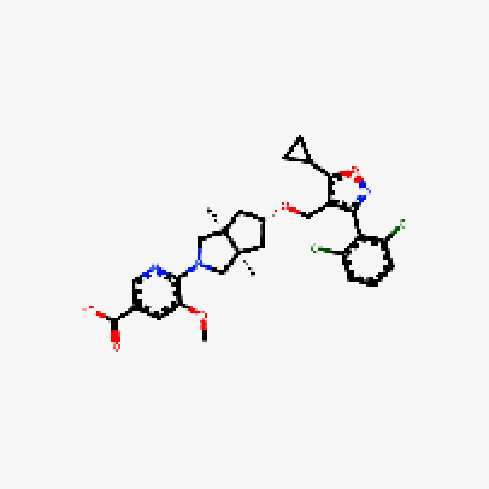 COc1cc(C(=O)O)cnc1N1C[C@H]2C[C@H](OCc3c(-c4c(Cl)cccc4Cl)noc3C3CC3)C[C@H]2C1